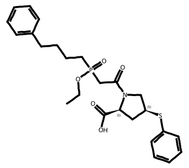 CCOP(=O)(CCCCc1ccccc1)CC(=O)N1C[C@@H](Sc2ccccc2)C[C@H]1C(=O)O